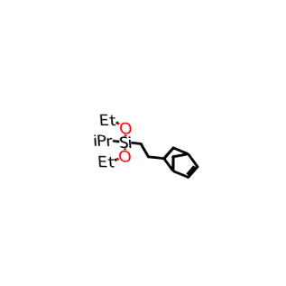 CCO[Si](CCC1CC2C=CC1C2)(OCC)C(C)C